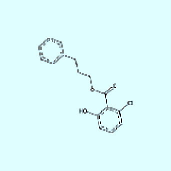 O=C(OCCCc1ccccc1)c1c(O)cccc1Cl